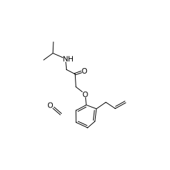 C=CCc1ccccc1OCC(=O)CNC(C)C.C=O